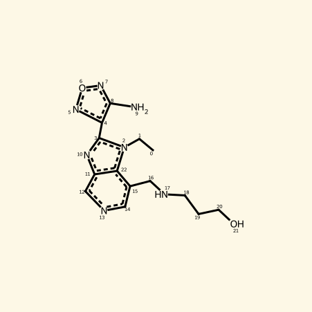 CCn1c(-c2nonc2N)nc2cncc(CNCCCO)c21